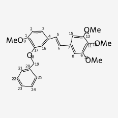 COc1ccc(C=Cc2cc(OC)c(OC)c(OC)c2)cc1OCc1ccccc1